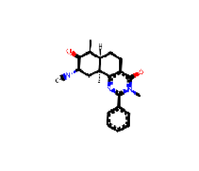 [C-]#[N+]C1C[C@]2(C)c3nc(-c4ccccc4)n(C)c(=O)c3CC[C@H]2[C@H](C)C1=O